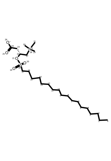 CCCCCCCCCCCCCCCCCCS(=O)(=O)O[C@H](CC(=O)[O-])C[N+](C)(C)C